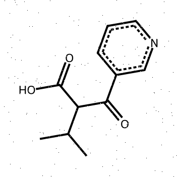 CC(C)C(C(=O)O)C(=O)c1cccnc1